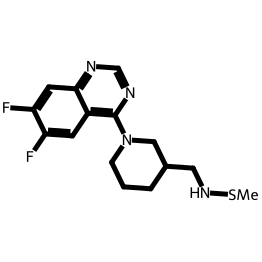 CSNCC1CCCN(c2ncnc3cc(F)c(F)cc23)C1